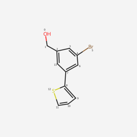 OCc1cc(Br)cc(-c2cccs2)c1